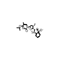 Cc1cn([C@H]2C[C@H](F)[C@@H](C[Se]c3ccccc3[N+](=O)[O-])O2)c(=O)nc1OC(C)C